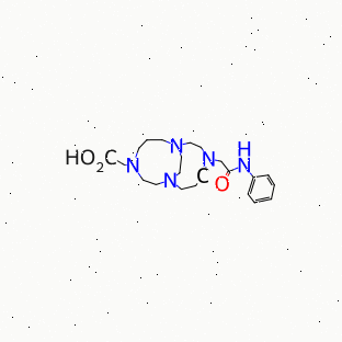 O=C(O)CN1CCCN2CCN(CCCN(CC(=O)Nc3ccccc3)CC2)CC1